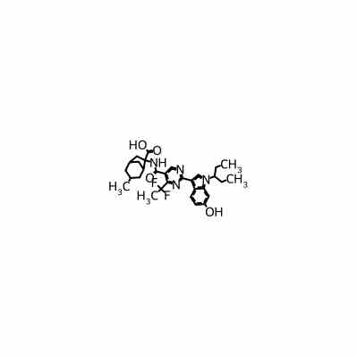 CCC(CC)n1cc(-c2ncc(C(=O)NC3(C(=O)O)CC4CC(C)CC3C4)c(C(C)(F)F)n2)c2ccc(O)cc21